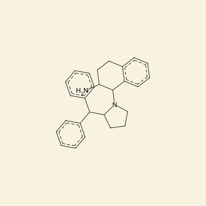 NC1CCc2ccccc2C1N1CCCC1C(c1ccccc1)c1ccccc1